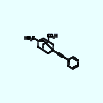 O=C(O)C12CC3CC(C#Cc4ccccc4)(C1)CC(C(=O)O)(C3)C2